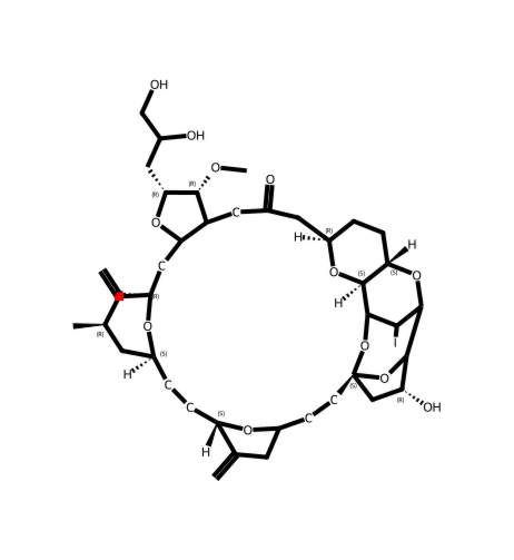 C=C1CC2CC[C@]34C[C@@H](O)C(O3)C3O[C@H]5CC[C@H](CC(=O)CC6C(C[C@H]7O[C@@H](CC[C@@H]1O2)C[C@@H](C)C7=C)O[C@H](CC(O)CO)[C@@H]6OC)O[C@@H]5C(O4)C3I